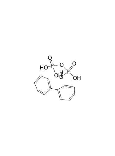 O=P(O)(O)OP(=O)(O)O.c1ccc(-c2ccccc2)cc1